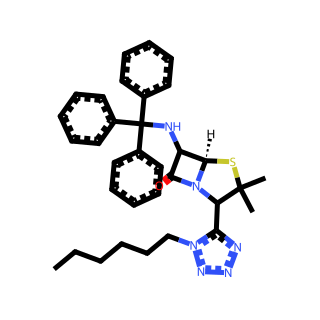 CCCCCCn1nnnc1C1N2C(=O)C(NC(c3ccccc3)(c3ccccc3)c3ccccc3)[C@H]2SC1(C)C